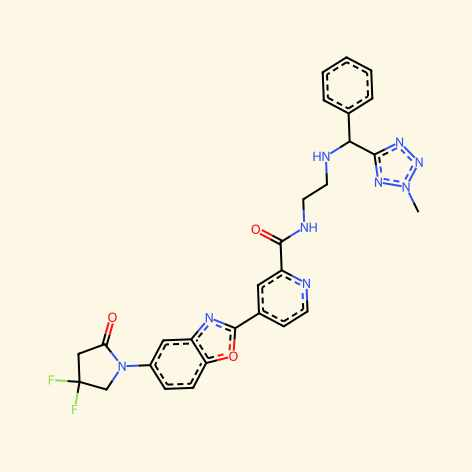 Cn1nnc(C(NCCNC(=O)c2cc(-c3nc4cc(N5CC(F)(F)CC5=O)ccc4o3)ccn2)c2ccccc2)n1